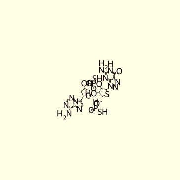 Nc1nc2c(nnn2[C@@H]2S[C@H](CO[PH](=O)S)[C@@H](O)[C@H]2OP(=O)(S)O[C@H]2O[C@@H](c3cnc4c(N)ncnn34)C[C@@H]2O)c(=O)[nH]1